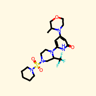 CC1COCCN1c1cc(N2CCN(S(=O)(=O)N3CCCCC3)CC2C(F)(F)F)[nH]c(=O)c1